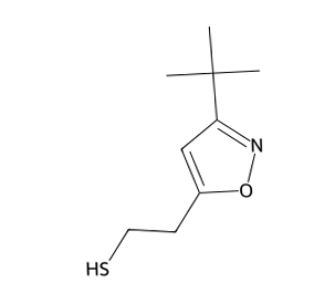 CC(C)(C)c1cc(CCS)on1